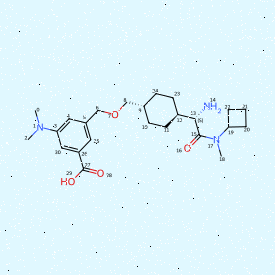 CN(C)c1cc(COC[C@H]2CC[C@H]([C@H](N)C(=O)N(C)C3CCC3)CC2)cc(C(=O)O)c1